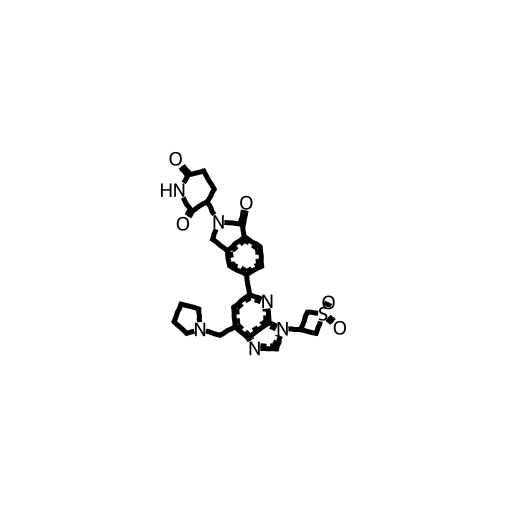 O=C1CCC(N2Cc3cc(-c4cc(CN5CCCC5)c5ncn(C6CS(=O)(=O)C6)c5n4)ccc3C2=O)C(=O)N1